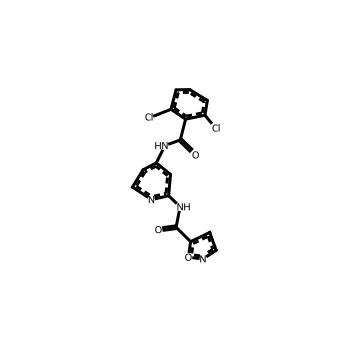 O=C(Nc1cc(NC(=O)c2c(Cl)cccc2Cl)ccn1)c1ccno1